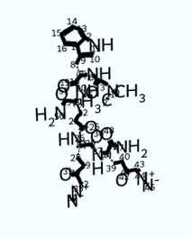 CN(C)CC(=O)N[C@@H](Cc1c[nH]c2ccccc12)C(=O)N[C@@H](CCC(=O)N[C@@H](CCC(=O)C=[N+]=[N-])C(=O)N[C@@H](CCC(=O)C=[N+]=[N-])C(N)=O)C(N)=O